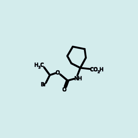 CC(Br)OC(=O)NC1(C(=O)O)CCCCC1